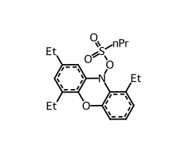 CCCS(=O)(=O)ON1c2cc(CC)cc(CC)c2Oc2cccc(CC)c21